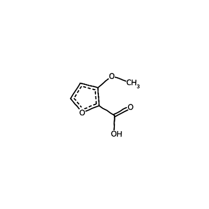 COc1ccoc1C(=O)O